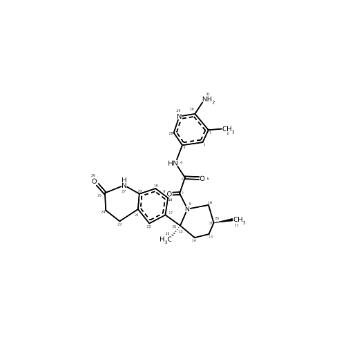 Cc1cc(NC(=O)C(=O)N2C[C@@H](C)CC[C@@]2(C)c2ccc3c(c2)CCC(=O)N3)cnc1N